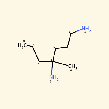 CCCC(C)(N)CCCN